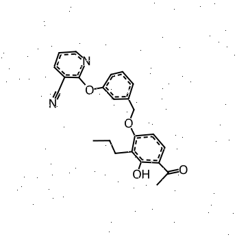 CCCc1c(OCc2cccc(Oc3ncccc3C#N)c2)ccc(C(C)=O)c1O